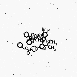 CO[C@@H](C)c1ncc(N2CCN(C(=O)OCc3ccccc3)CC2)cc1-c1[nH]c2cc(F)c(Br)cc2c1CC(C)(C)CO[Si](c1ccccc1)(c1ccccc1)C(C)(C)C